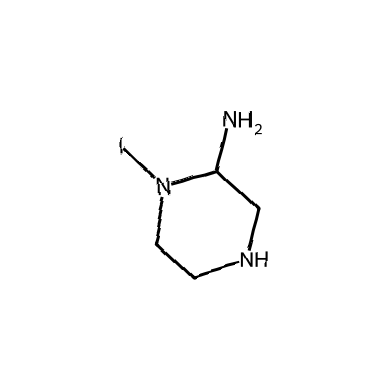 NC1CNCCN1I